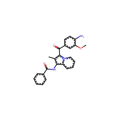 COc1cc(C(=O)c2c(C)c(NC(=O)c3ccccc3)c3ccccn23)ccc1N